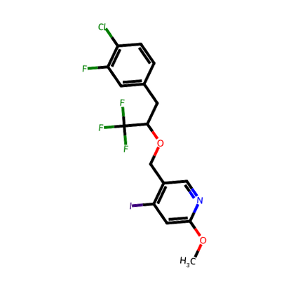 COc1cc(I)c(COC(Cc2ccc(Cl)c(F)c2)C(F)(F)F)cn1